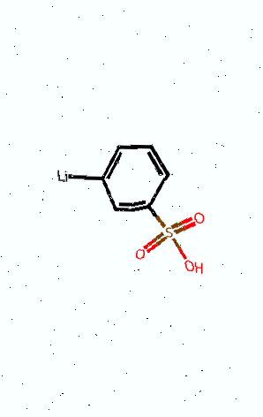 [Li][c]1cc[c]c(S(=O)(=O)O)c1